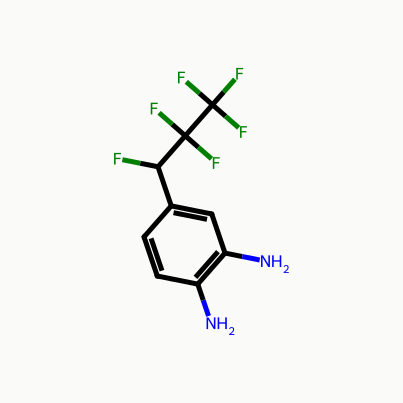 Nc1ccc(C(F)C(F)(F)C(F)(F)F)cc1N